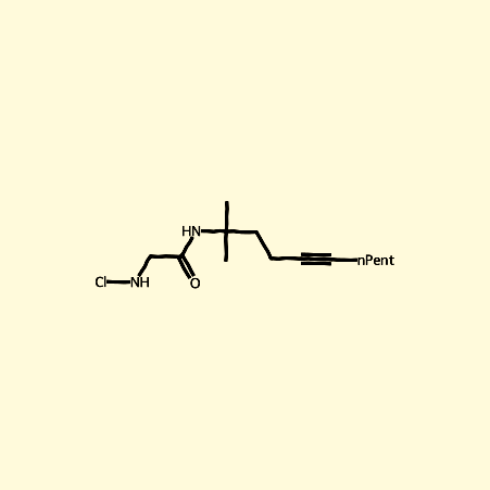 CCCCCC#CCCC(C)(C)NC(=O)CNCl